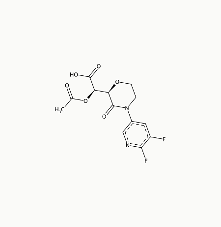 CC(=O)O[C@@H](C(=O)O)[C@H]1OCCN(c2cnc(F)c(F)c2)C1=O